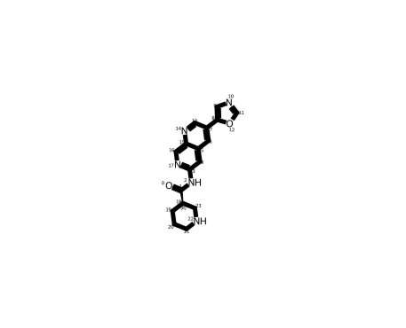 O=C(Nc1cc2cc(-c3cnco3)cnc2cn1)[C@@H]1CCCNC1